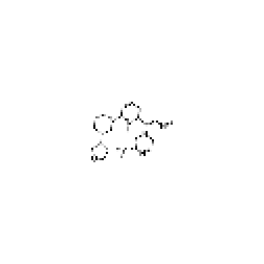 C=N/C=C(/C1=NC=CC(N2CCCC(C3CCOC3)C2)N1)N1C=C(C(F)(F)F)N=CC1